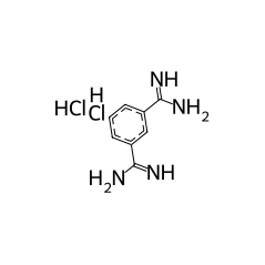 Cl.Cl.N=C(N)c1cccc(C(=N)N)c1